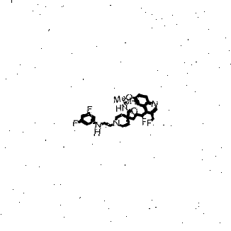 COc1ccc2ncc(CF)c([C@H](F)CCC3(C(=O)NO)CCN(CCNc4cc(F)cc(F)c4)CC3)c2c1